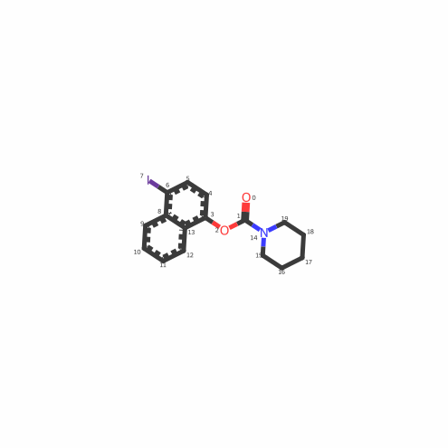 O=C(Oc1ccc(I)c2ccccc12)N1CCCCC1